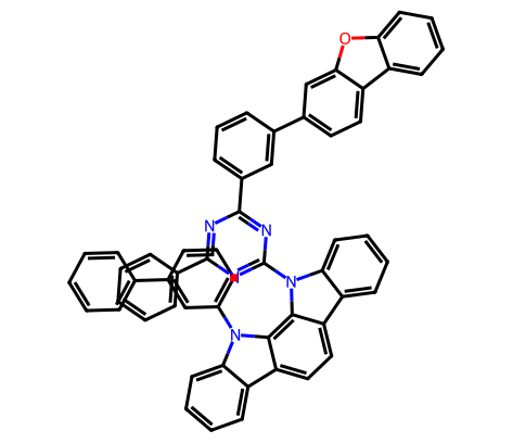 c1ccc(-c2cccc(-n3c4ccccc4c4ccc5c6ccccc6n(-c6nc(-c7ccccc7)nc(-c7cccc(-c8ccc9c(c8)oc8ccccc89)c7)n6)c5c43)c2)cc1